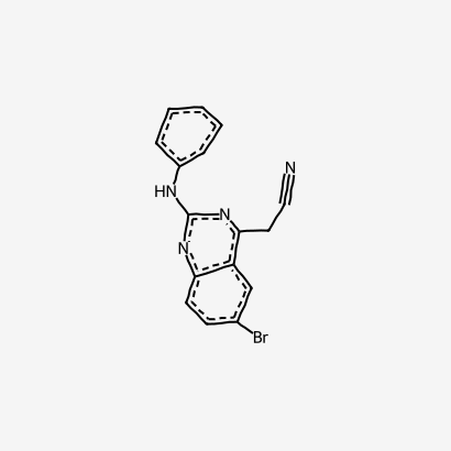 N#CCc1nc(Nc2ccccc2)nc2ccc(Br)cc12